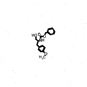 COc1ccc(CC(CO)NC(=O)OCc2ccccc2)cc1